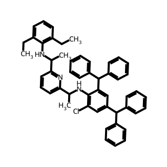 CCc1cccc(CC)c1NC(C)c1cccc(C(C)Nc2c(Cl)cc(C(c3ccccc3)c3ccccc3)cc2C(c2ccccc2)c2ccccc2)n1